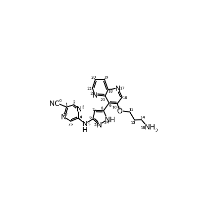 N#Cc1cnc(Nc2cc(-c3c(OCCCN)cnc4cccnc34)[nH]n2)cn1